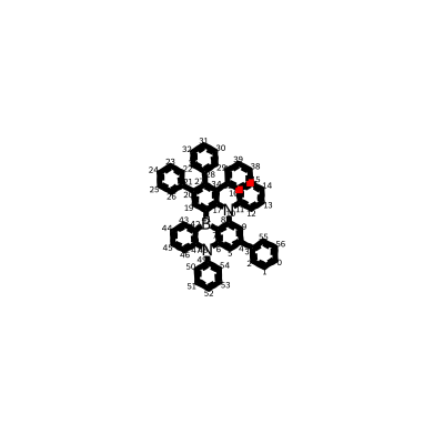 c1ccc(-c2cc3c4c(c2)N(c2ccccc2)c2c(cc(-c5ccccc5)c(-c5ccccc5)c2-c2ccccc2)B4c2ccccc2N3c2ccccc2)cc1